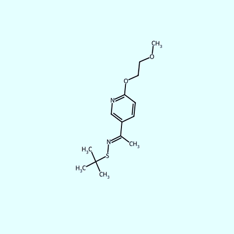 COCCOc1ccc(/C(C)=N/SC(C)(C)C)cn1